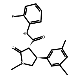 Cc1cc(C)cc([C@H]2CN(C)C(=O)[C@@H]2C(=O)Nc2ccccc2F)c1